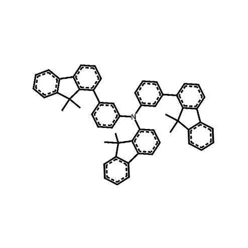 CC1(C)c2ccccc2-c2cccc(-c3cccc(N(c4cccc(-c5cccc6c5C(C)(C)c5ccccc5-6)c4)c4cccc5c4C(C)(C)c4ccccc4-5)c3)c21